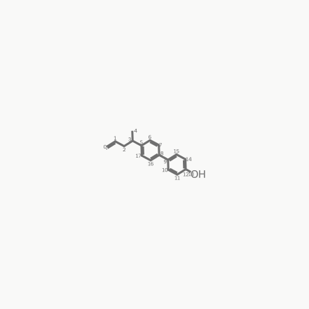 [CH]=CCC(C)c1ccc(-c2ccc(O)cc2)cc1